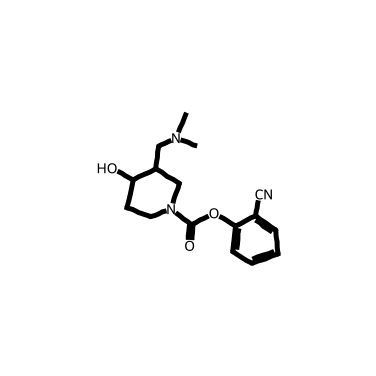 CN(C)CC1CN(C(=O)Oc2ccccc2C#N)CCC1O